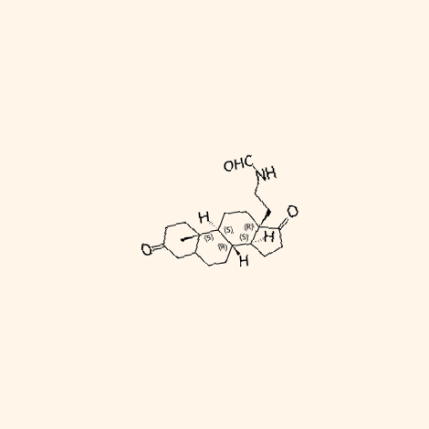 C[C@]12CCC(=O)CC1CC[C@H]1[C@@H]3CCC(=O)[C@@]3(CCNC=O)CC[C@@H]12